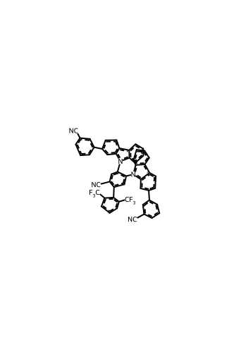 N#Cc1cccc(-c2ccc3c4ccccc4n(-c4cc(C#N)c(-c5c(C(F)(F)F)cccc5C(F)(F)F)cc4-n4c5ccccc5c5ccc(-c6cccc(C#N)c6)cc54)c3c2)c1